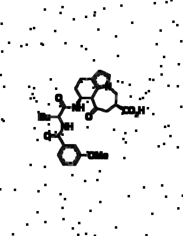 CCC(C)C(NC(=O)c1cccc(OC)c1)C(=O)N[C@H]1CCc2ccn3c2C1C(=O)C[C@H](C(=O)O)C3